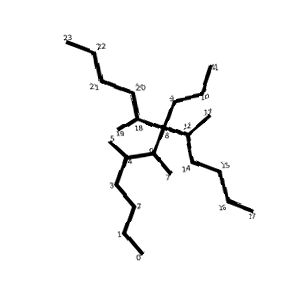 CCCCC(C)[C](C)C(CCC)(C(C)CCCC)C(C)CCCC